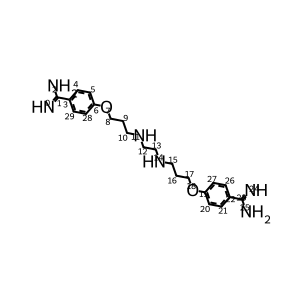 N=C(N)c1ccc(OCCCNCCNCCCOc2ccc(C(=N)N)cc2)cc1